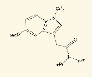 CCCN(CCC)C(=O)Cc1cn(C)c2ccc(OC)cc12